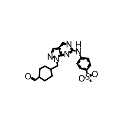 CS(=O)(=O)c1ccc(Nc2ncc3cnn(CC4CCC(C=O)CC4)c3n2)cc1